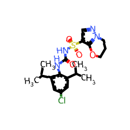 CC(C)c1cc(Cl)cc(C(C)C)c1NC(=O)NS(=O)(=O)c1cnn2c1OCCC2